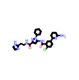 Nc1cccc(-c2ccc(Cl)c(C(=O)Nc3cc(C(=O)NCCc4ncc[nH]4)nn3-c3ccccc3)c2)n1